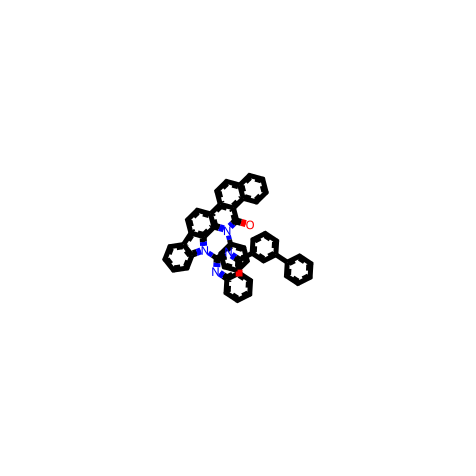 O=c1c2c3ccccc3ccc2c2ccc3c4ccccc4n(-c4nc(-c5cccc(-c6ccccc6)c5)c5ccccc5n4)c3c2n1-c1ccccc1